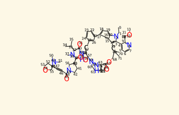 CCn1c(-c2cccnc2[C@H](C)OC)c2c3cc(ccc31)-c1cccc(c1)C[C@H](NC(=O)C(C(C)C)N(C)C(=O)[C@H]1CCN(C(=O)C#C[C@]3(N(C)C)CCOC3)C1)C(=O)N1CCC[C@H](N1)C(=O)OCC(C)(C)C2